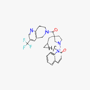 C[N@+]1(CN2CCC(CC3CC3)(C(=O)N3CCc4ncc(C(F)(F)F)cc4C3)C2)C(=O)C=Cc2ccccc21